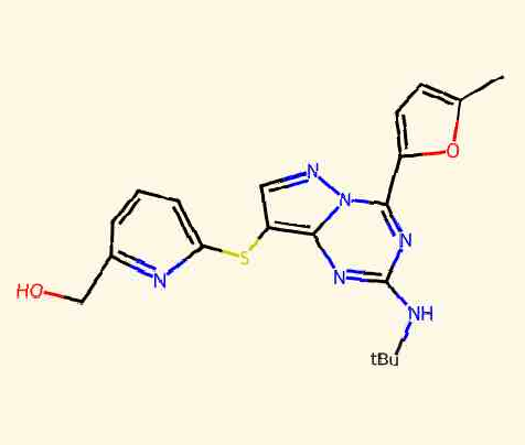 Cc1ccc(-c2nc(NC(C)(C)C)nc3c(Sc4cccc(CO)n4)cnn23)o1